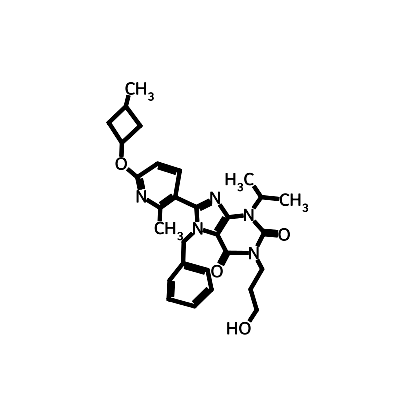 Cc1nc(OC2CC(C)C2)ccc1-c1nc2c(c(=O)n(CCCO)c(=O)n2C(C)C)n1Cc1ccccc1